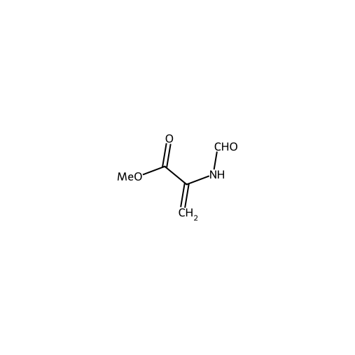 C=C(NC=O)C(=O)OC